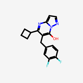 Oc1c(Cc2ccc(F)c(F)c2)c(C2CCC2)nc2ccnn12